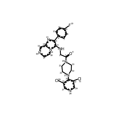 O=C(CNc1c(-c2ccc(F)cc2)nc2cnccn12)N1CCN(c2c(Cl)cncc2Cl)CC1